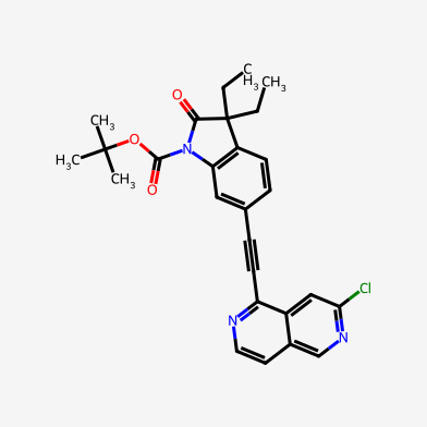 CCC1(CC)C(=O)N(C(=O)OC(C)(C)C)c2cc(C#Cc3nccc4cnc(Cl)cc34)ccc21